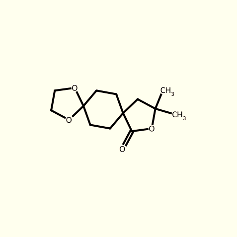 CC1(C)CC2(CCC3(CC2)OCCO3)C(=O)O1